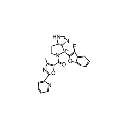 Cc1nc(-c2ccccn2)oc1C(=O)N1CCc2[nH]cnc2[C@H]1c1oc2ccccc2c1F